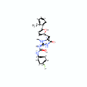 CN1/C(=C\c2ccc(-c3ccccc3[N+](=O)[O-])o2)C(=O)N/C1=N\C(=O)Nc1ccc(F)cc1